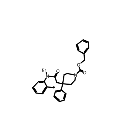 CCN(C(=O)CC1(c2ccccc2)CCN(C(=O)OCc2ccccc2)CC1)c1ccccc1F